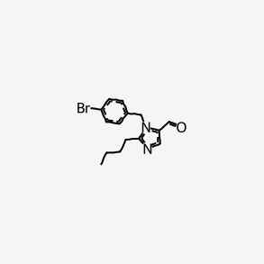 CCCCc1ncc(C=O)n1Cc1ccc(Br)cc1